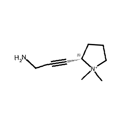 C[N+]1(C)CCC[C@H]1C#CCN